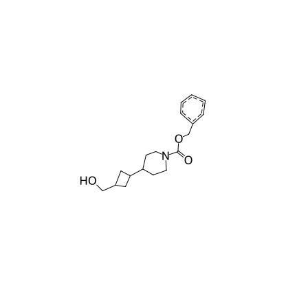 O=C(OCc1ccccc1)N1CCC(C2CC(CO)C2)CC1